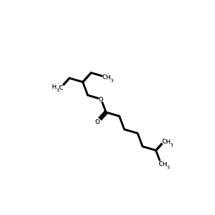 CCC(CC)COC(=O)CCCCC(C)C